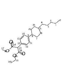 CCCCCC1CCC(c2ccc(C(C(=O)OC)C(=O)OCC)cc2)CC1